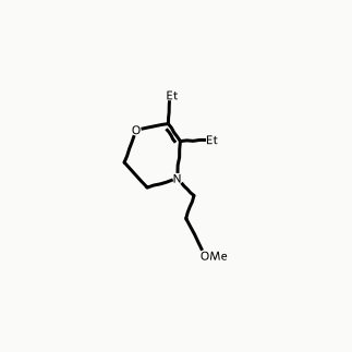 CCC1=C(CC)N(CCOC)CCO1